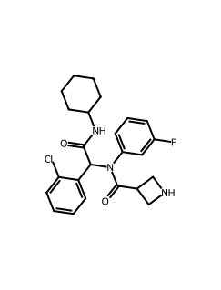 O=C(NC1CCCCC1)C(c1ccccc1Cl)N(C(=O)C1CNC1)c1cccc(F)c1